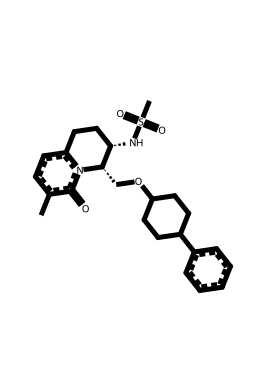 Cc1ccc2n(c1=O)[C@@H](COC1CCC(c3ccccc3)CC1)[C@@H](NS(C)(=O)=O)CC2